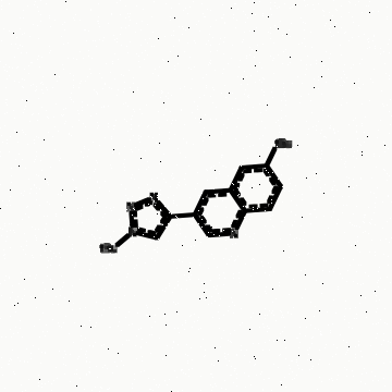 CC(C)(C)c1ccc2ncc(-c3cn(C(C)(C)C)nn3)cc2c1